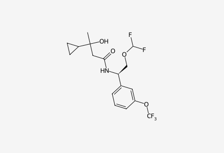 CC(O)(CC(=O)N[C@@H](COC(F)F)c1cccc(OC(F)(F)F)c1)C1CC1